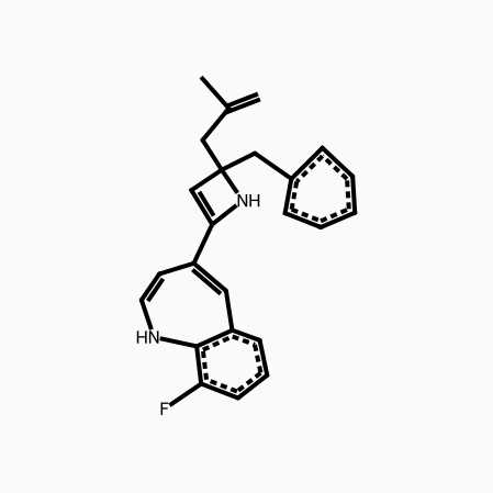 C=C(C)CC1(Cc2ccccc2)C=C(C2=Cc3cccc(F)c3NC=C2)N1